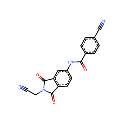 N#CCN1C(=O)c2ccc(NC(=O)c3ccc(C#N)cc3)cc2C1=O